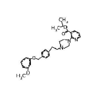 COc1cccc(OCc2ccc(CCN3CCN(c4ncccc4C(=O)OC(C)C)CC3)cc2)c1